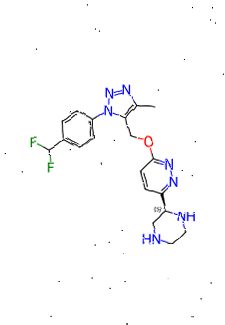 Cc1nnn(-c2ccc(C(F)F)cc2)c1COc1ccc([C@@H]2CNCCN2)nn1